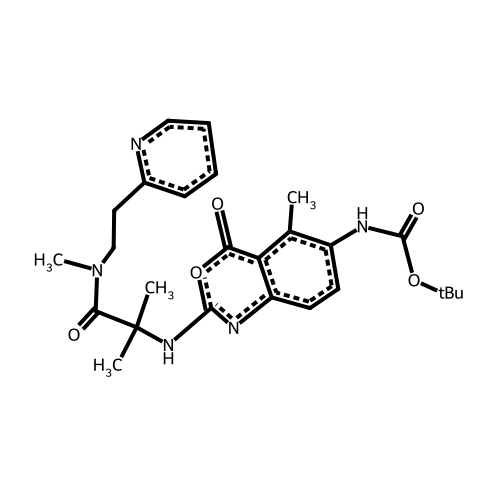 Cc1c(NC(=O)OC(C)(C)C)ccc2nc(NC(C)(C)C(=O)N(C)CCc3ccccn3)oc(=O)c12